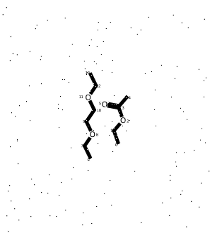 CCOC(C)=O.CCOCCOCC